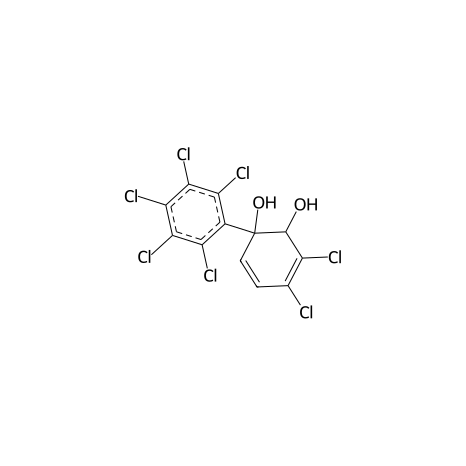 OC1C(Cl)=C(Cl)C=CC1(O)c1c(Cl)c(Cl)c(Cl)c(Cl)c1Cl